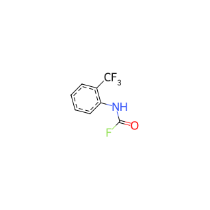 O=C(F)Nc1ccccc1C(F)(F)F